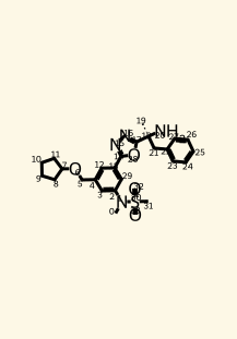 CN(c1cc(COC2CCCC2)cc(-c2nnc([C@@](C)(N)Cc3ccccc3)o2)c1)S(C)(=O)=O